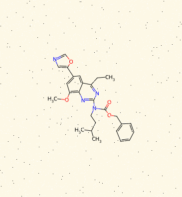 CCc1nc(N(CCC(C)C)C(=O)OCc2ccccc2)nc2c(OC)cc(-c3cnco3)cc12